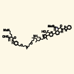 C=C(CC(C)CC(C)(N)CCOCCN(C)CCOCc1ccc(NC(=O)[C@H](CCCNC)NC=O)cc1)Cn1ncc(-c2ccc(-c3ccc(C)c(/C(=C\NOC)C(=O)Nc4nc5ccccc5s4)c3)nc2C(=O)O)c1C